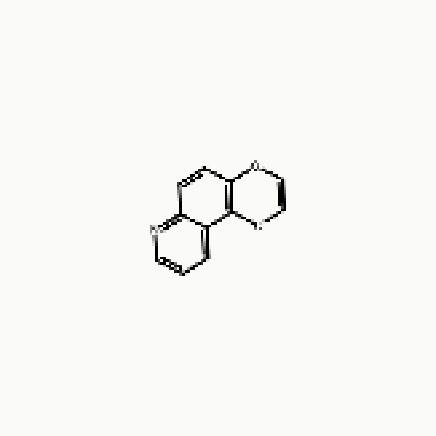 C1=COc2c(ccc3ncccc23)O1